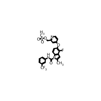 Cc1cc2c(F)c(Oc3ccnc(COS(C)(=O)=O)c3)ccc2n1C(=O)Nc1cccc(C(F)(F)F)c1